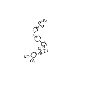 CC(C)(C)OC(=O)N1CCC(CN2CCC(c3cnn(C4(C(=O)Nc5ccc(C#N)c(C(F)(F)F)c5)CCC4)c3)CC2)C1